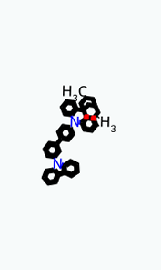 C[C@H]1CC2C[C@H](C)CC(c3ccccc3N(c3ccccc3)c3ccc(-c4cccc(-n5c6ccccc6c6ccccc65)c4)cc3)(C2)C1